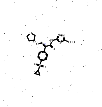 O=Cc1nnc(NC(=O)/C(=N/O[C@@H]2CCOC2)c2ccc(S(=O)(=O)C3CC3)cc2)s1